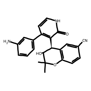 CC1(C)Oc2ccc(C#N)cc2[C@H](c2c(-c3cccc(N)c3)cc[nH]c2=O)[C@H]1O